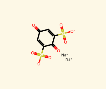 O=C1C=C(S(=O)(=O)[O-])C(=O)C(S(=O)(=O)[O-])=C1.[Na+].[Na+]